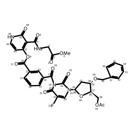 COC(=O)CNC(=O)c1c(OC(=O)c2cccc(C(=O)n3c(=O)c(F)cn([C@H]4C[C@H](OCc5ccccc5)[C@@H](COC(C)=O)O4)c3=O)c2)cc[nH]c1=O